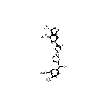 COc1cc(C(=O)N2CC[C@H](n3cc(-c4cc(OC)c5c(C#N)cnn5c4)cn3)C2)ccc1N